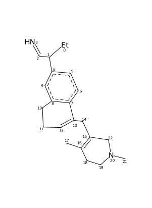 CCC(C=N)c1ccc2c(c1)CCC=C2CC1=C(C)CCN(C)C1